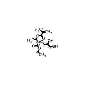 C=C(C)C(=O)OC(C)N(OCC(O)CO)C(=O)OCC